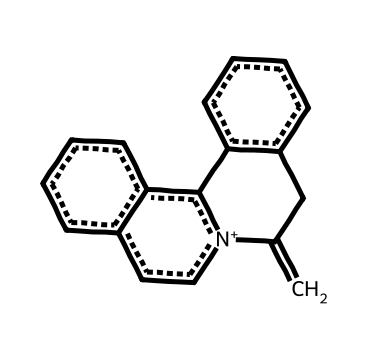 C=C1Cc2ccccc2-c2c3ccccc3cc[n+]21